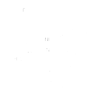 COc1c(F)cc(F)cc1NN=C(c1ccccc1)c1ccccc1